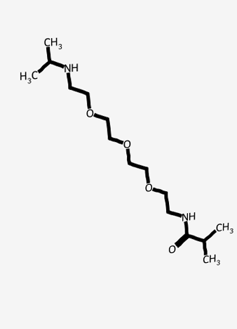 CC(C)NCCOCCOCCOCCNC(=O)C(C)C